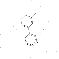 CC1=CC(c2cccnc2)=CCC1